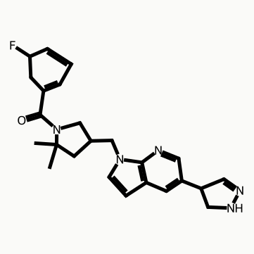 CC1(C)CC(Cn2ccc3cc(C4C=NNC4)cnc32)CN1C(=O)C1=CC=CC(F)C1